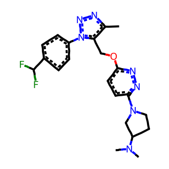 Cc1nnn(-c2ccc(C(F)F)cc2)c1COc1ccc(N2CCC(N(C)C)C2)nn1